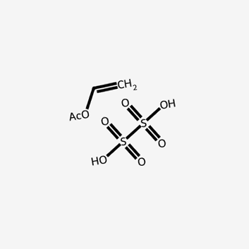 C=COC(C)=O.O=S(=O)(O)S(=O)(=O)O